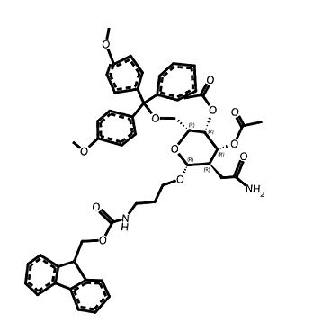 COc1ccc(C(OC[C@H]2O[C@@H](OCCCNC(=O)OCC3c4ccccc4-c4ccccc43)[C@H](CC(N)=O)[C@@H](OC(C)=O)[C@H]2OC(C)=O)(c2ccccc2)c2ccc(OC)cc2)cc1